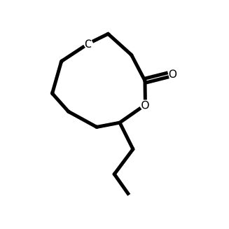 CCCC1CCCCCCCC(=O)O1